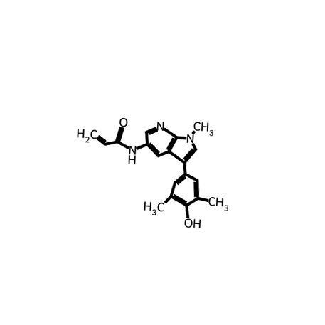 C=CC(=O)Nc1cnc2c(c1)c(-c1cc(C)c(O)c(C)c1)cn2C